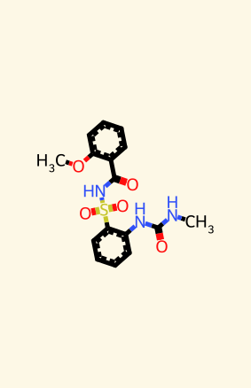 CNC(=O)Nc1ccccc1S(=O)(=O)NC(=O)c1ccccc1OC